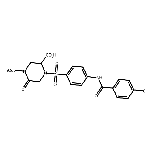 CCCCCCCCN1CC(C(=O)O)N(S(=O)(=O)c2ccc(NC(=O)c3ccc(Cl)cc3)cc2)CC1=O